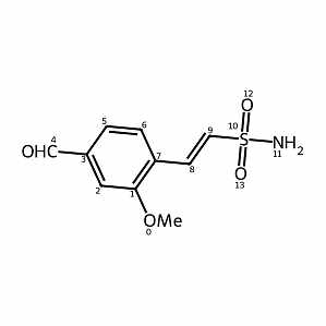 COc1cc(C=O)ccc1/C=C/S(N)(=O)=O